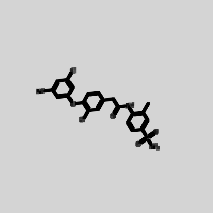 Cc1cc(S(N)(=O)=O)ccc1NC(=O)Cc1ccc(Oc2cc(Cl)cc(C#N)c2)c(Cl)c1